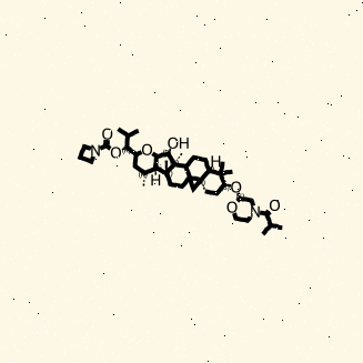 CC(C)C(=O)N1CCO[C@@H](O[C@H]2CC[C@]34CC35CC[C@]3(C)[C@@H]6C(OC([C@H](OC(=O)N7CCC7)C(C)C)C[C@H]6C)[C@H](O)[C@@]3(C)C5CC[C@H]4C2(C)C)C1